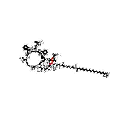 CCCC[C@H](NC(=O)[C@@H](CO)NC(=O)[C@H](Cc1c[nH]cn1)NC(=O)[C@H](CCC(N)=O)NC(=O)[C@H](CNC(C)C)NC(=O)CNC(=O)COCCOCCNC(=O)CCCCCCCCCCCCCCCc1nnn[nH]1)C(=O)N[C@H]1CCC(=O)NCCCC[C@@H](C(N)=O)NC(=O)[C@H](Cc2c[nH]c3ccccc23)NC(=O)[C@H](CCCNC(=N)N)NC(=O)[C@@H](Cc2ccccc2)NC(=O)[C@@H]2C[C@@H](O)CN2C1=O